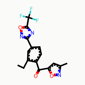 CCc1cc(-c2noc(C(F)(F)F)n2)ccc1C(=O)c1cc(C)no1